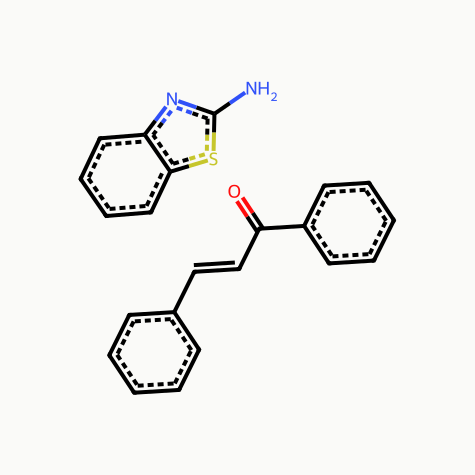 Nc1nc2ccccc2s1.O=C(C=Cc1ccccc1)c1ccccc1